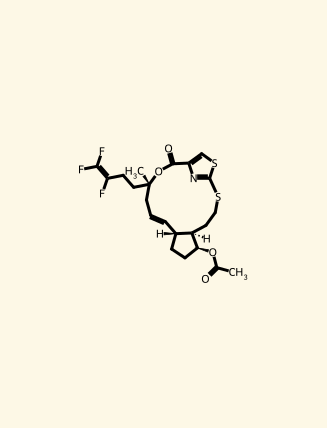 CC(=O)O[C@H]1CC[C@@H]2/C=C/C[C@](C)(CCC(F)=C(F)F)OC(=O)c3csc(n3)SCC[C@@H]12